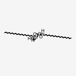 CCCCCCCCCCCCCCCCCCNC(=O)OC(C)CN(CC(C)O)C(=O)NCCCCCCCCCCCCCCCCCC